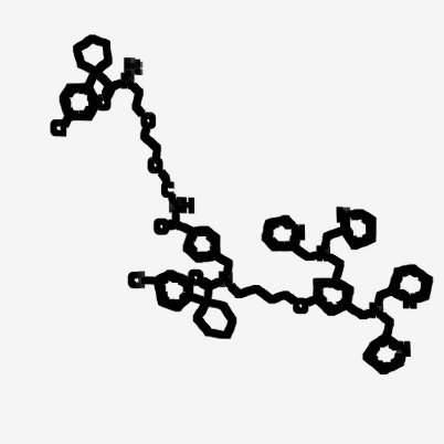 CCN(CCOCCOCCNC(=O)c1ccc(CN(CCCCOc2cc(CN(Cc3ccccn3)Cc3ccccn3)cc(CN(Cc3ccccn3)Cc3ccccn3)c2)C(=O)C2(c3ccc(Cl)cc3)CCCCC2)cc1)C(=O)C1(c2ccc(Cl)cc2)CCCCC1